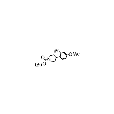 COc1ccc(C2CCN(C(=O)OC(C)(C)C)CC2)c(C(C)C)c1